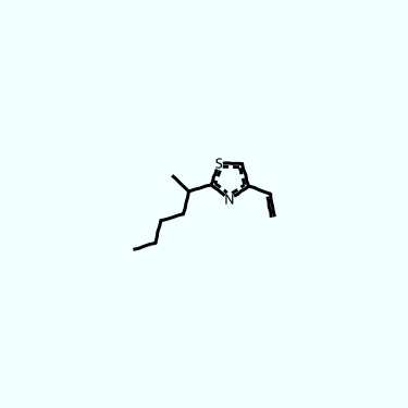 C=Cc1csc(C(C)CCCC)n1